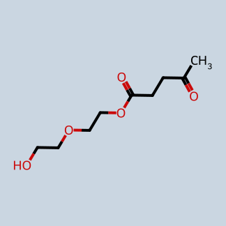 CC(=O)CCC(=O)OCCOCCO